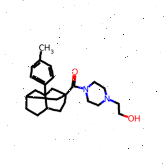 Cc1ccc(C23CC4CCC2CCC(C(=O)N2CCN(CCO)CC2)(C4)C3)cc1